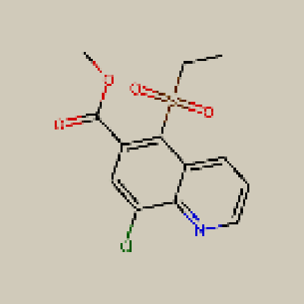 CCS(=O)(=O)c1c(C(=O)OC)cc(Cl)c2ncccc12